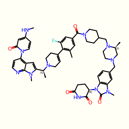 CNc1ccn(-c2ccnc3c2cc([C@H](C)N2CC=C(c4c(C)cc(C(=O)N5CCC(CN6CCN(Cc7ccc8c(c7)n(C)c(=O)n8[C@@H]7CCC(=O)NC7=O)C[C@@H]6C)CC5)cc4F)CC2)n3C)c(=O)c1